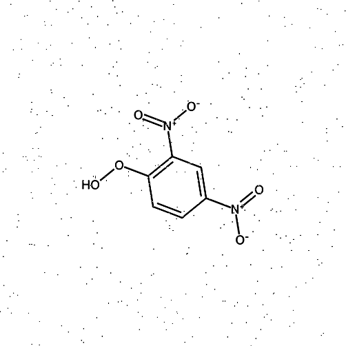 O=[N+]([O-])c1ccc(OO)c([N+](=O)[O-])c1